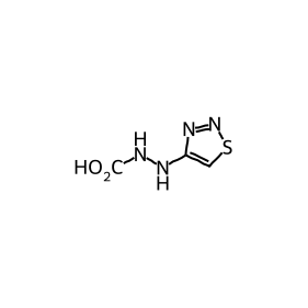 O=C(O)NNc1csnn1